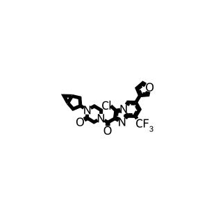 O=C(c1nc2c(C(F)(F)F)cc(-c3ccoc3)cn2c1Cl)N1CCN(C2CC3CC3C2)C(=O)C1